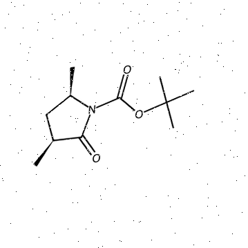 C[C@@H]1C[C@H](C)C(=O)N1C(=O)OC(C)(C)C